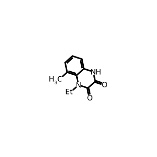 CCn1c(=O)c(=O)[nH]c2cccc(C)c21